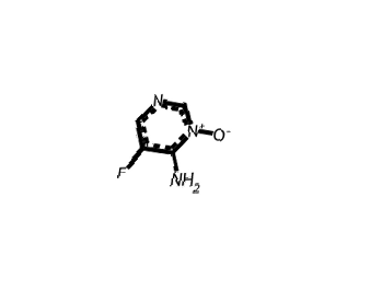 Nc1c(F)cnc[n+]1[O-]